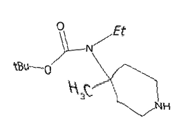 CCN(C(=O)OC(C)(C)C)C1(C)CCNCC1